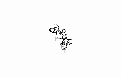 C=Nc1c(C(=C)N(C)CCC(C)(F)F)sc(C(=O)N[C@H]2CCOc3ccccc32)c1C(C)C